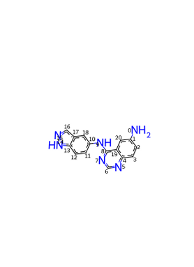 Nc1ccc2ncnc(Nc3ccc4[nH]ncc4c3)c2c1